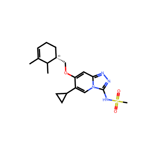 CC1=CCC[C@H](COc2cc3nnc(NS(C)(=O)=O)n3cc2C2CC2)C1C